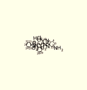 Cl.NC1CCCC(N)(c2ncc(Cl)c(-c3cn(S(=O)(=O)c4ccccc4)c4ccccc34)n2)C1